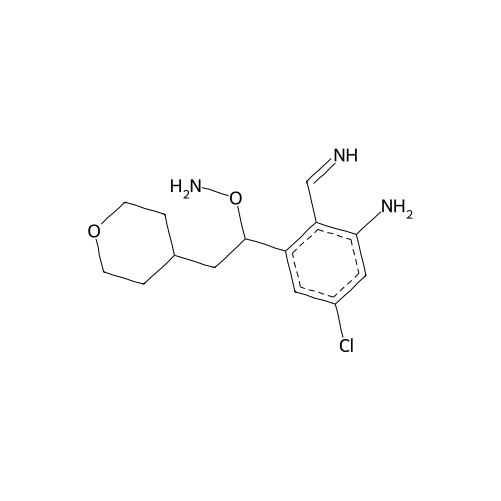 N=Cc1c(N)cc(Cl)cc1C(CC1CCOCC1)ON